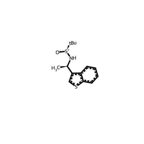 C[C@@H](N[S@@+]([O-])C(C)(C)C)c1csc2ccccc12